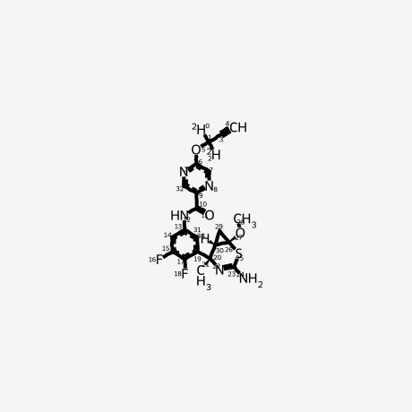 [2H]C([2H])(C#C)Oc1cnc(C(=O)Nc2cc(F)c(F)c([C@@]3(C)N=C(N)S[C@@]4(OC)C[C@H]43)c2)cn1